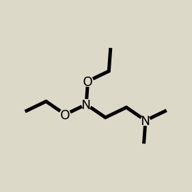 CCON(CCN(C)C)OCC